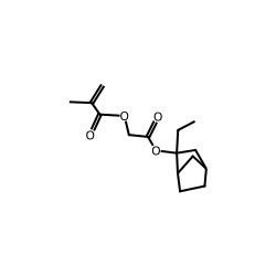 C=C(C)C(=O)OCC(=O)OC1(CC)CC2CCC1C2